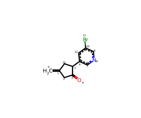 C=C1CC(=O)C(c2cncc(Br)c2)C1